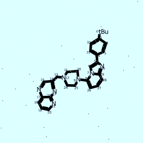 CC(C)(C)c1ccc(-c2cn3c(N4CCN(Cc5cnc6cccnc6n5)CC4)cccc3n2)cc1